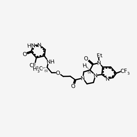 CCN1C(=O)[C@@H]2CN(C(=O)CCOC[C@H](C)Nc3cn[nH]c(=O)c3C(F)(F)F)CCN2c2ncc(C(F)(F)F)cc21